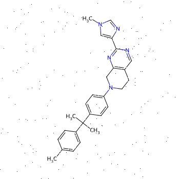 Cc1ccc(C(C)(C)c2ccc(N3CCc4cnc(-c5cn(C)cn5)nc4C3)cc2)cc1